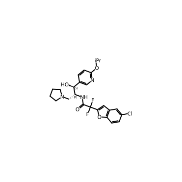 CC(C)Oc1ccc([C@H](O)[C@@H](CN2CCCC2)NC(=O)C(F)(F)c2cc3cc(Cl)ccc3o2)cn1